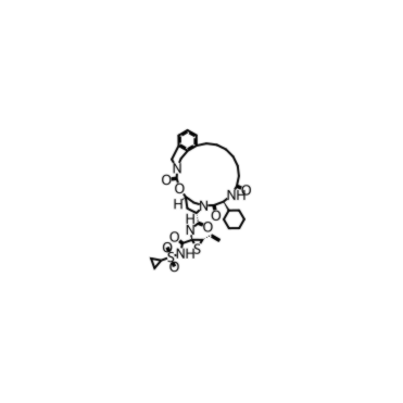 C=C[C@@H]1S[C@]1(NC(=O)[C@@H]1C[C@@H]2CN1C(=O)[C@H](C1CCCCC1)NC(=O)CCCCCCc1cccc3c1CN(C3)C(=O)O2)C(=O)NS(=O)(=O)C1CC1